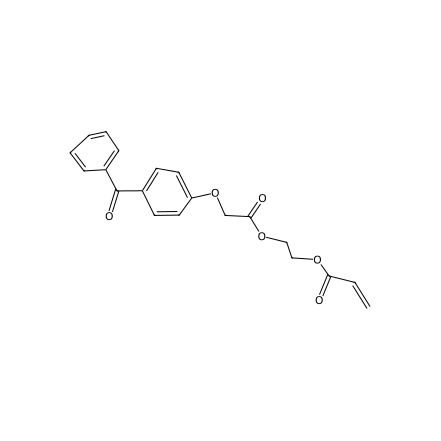 C=CC(=O)OCCOC(=O)COc1ccc(C(=O)c2ccccc2)cc1